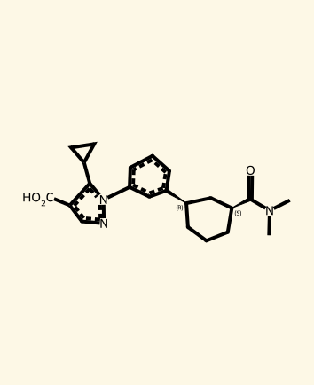 CN(C)C(=O)[C@H]1CCC[C@@H](c2cccc(-n3ncc(C(=O)O)c3C3CC3)c2)C1